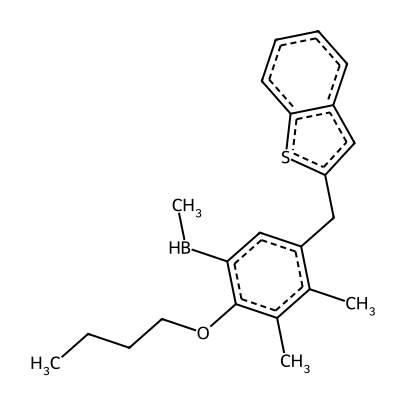 CBc1cc(Cc2cc3ccccc3s2)c(C)c(C)c1OCCCC